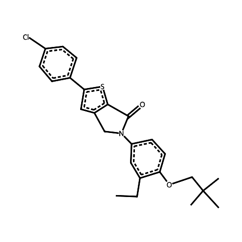 CCc1cc(N2Cc3cc(-c4ccc(Cl)cc4)sc3C2=O)ccc1OCC(C)(C)C